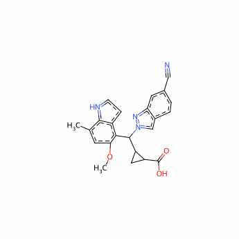 COc1cc(C)c2[nH]ccc2c1C(C1CC1C(=O)O)n1cc2ccc(C#N)cc2n1